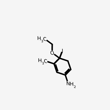 CCOC1(I)CC=C(N)C=C1C